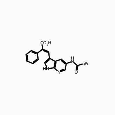 CCCC(=O)Nc1cnc2[nH]cc(C=C(C(=O)O)c3ccccc3)c2c1